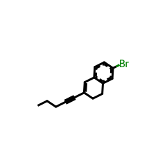 CCCC#CC1=Cc2ccc(Br)cc2CC1